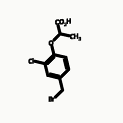 CC(Oc1ccc(CBr)cc1Cl)C(=O)O